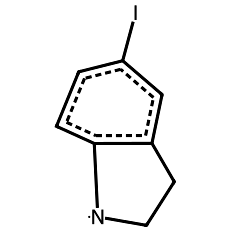 Ic1ccc2c(c1)CC[N]2